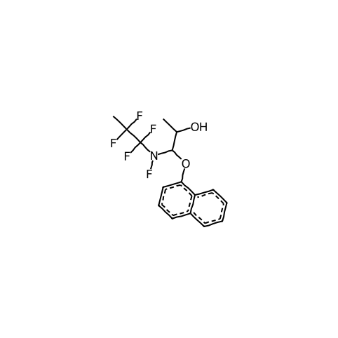 CC(O)C(Oc1cccc2ccccc12)N(F)C(F)(F)C(C)(F)F